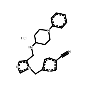 Cl.N#Cc1ccc(Cn2cncc2CNC2CCN(c3ccccc3)CC2)cc1